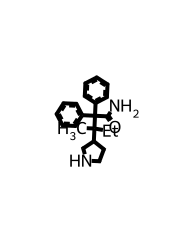 CCC(C)(C1CCNC1)C(C(N)=O)(c1ccccc1)c1ccccc1